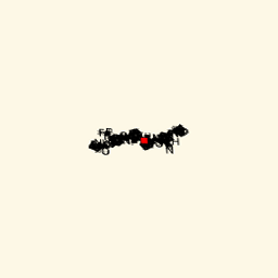 Cc1c(-c2nc3cc(COC(=O)[C@@H]4CCCN4)c(OC(F)F)cc3o2)cccc1-c1cccc(-c2nc3cc(CNC4(C)COC4)cc(C#N)c3o2)c1C